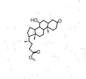 COC(=O)CC[C@@H](C)C1CCC2C3C(CC[C@@]21C)[C@@]1(C)CCC(=O)CC1C[C@@H]3O